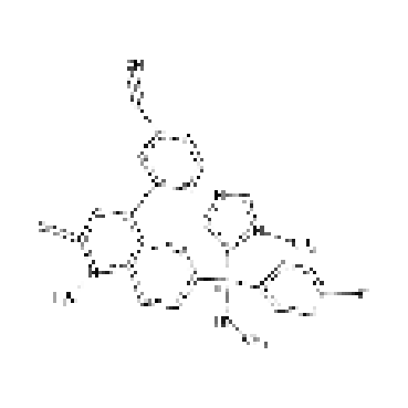 C#Cc1cccc(-c2cc(=O)n(C)c3ccc([C@](NC)(c4ccc(Cl)cc4)c4cncn4C)cc23)c1